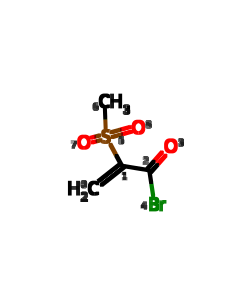 C=C(C(=O)Br)S(C)(=O)=O